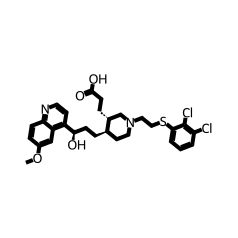 COc1ccc2nccc([C@H](O)CC[C@@H]3CCN(CCSc4cccc(Cl)c4Cl)C[C@H]3CCC(=O)O)c2c1